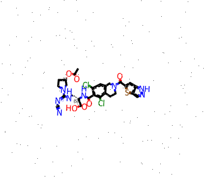 CC(=O)O[C@H]1CCN(/C(=N/C#N)NC[C@H](NC(=O)c2c(Cl)cc3c(c2Cl)CCN(C(=O)c2cc4[nH]ncc4s2)C3)C(=O)O)C1